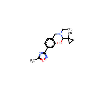 N#CC1(C(O)N(Cc2ccc(-c3noc(C(F)(F)F)n3)cc2)CC(F)(F)F)CC1